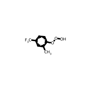 Cc1cc(C(F)(F)F)ccc1OOO